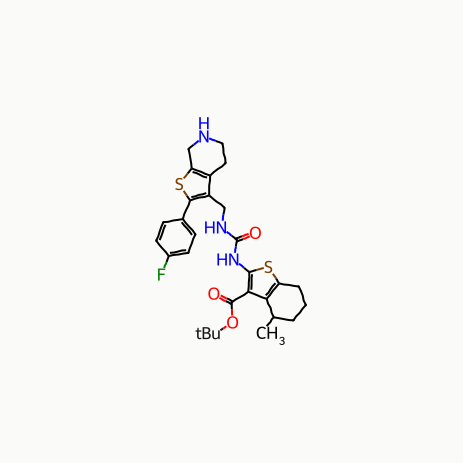 CC1CCCc2sc(NC(=O)NCc3c(-c4ccc(F)cc4)sc4c3CCNC4)c(C(=O)OC(C)(C)C)c21